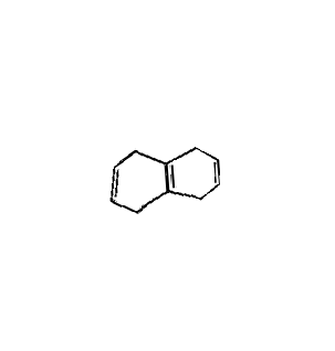 C1=CCC2=C(C1)CC=CC2